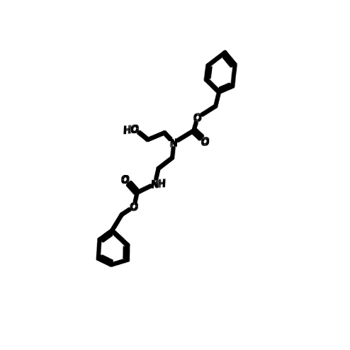 O=C(NCCN(CCO)C(=O)OCc1ccccc1)OCc1ccccc1